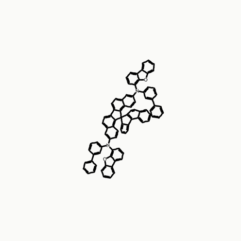 c1ccc(-c2cccc(N(c3ccc4c5c(ccc4c3)-c3ccc4cc(N(c6cccc(-c7ccccc7)c6)c6cccc7c6oc6ccccc67)ccc4c3C53c4ccccc4-c4c3ccc3ccccc43)c3cccc4c3oc3ccccc34)c2)cc1